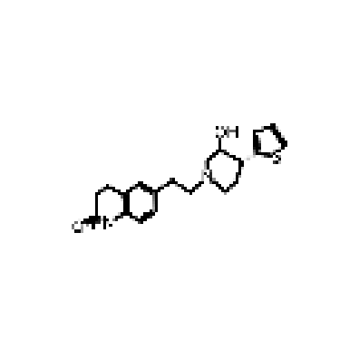 O=C1CCc2cc(CCN3CC[C@@H](c4cccs4)[C@H](O)C3)ccc2N1